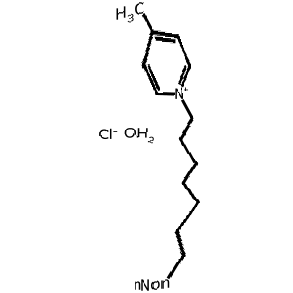 CCCCCCCCCCCCCCCC[n+]1ccc(C)cc1.O.[Cl-]